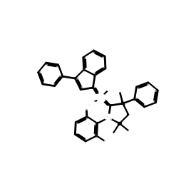 CCc1cccc(CC)c1N1[C](=[Ru]([Cl])([Cl])=[C]2C=C(c3ccccc3)c3ccccc32)C(C)(c2ccccc2)CC1(C)C